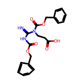 N=C(NC(=O)OCc1ccccc1)N(CCC(=O)O)C(=O)OCc1ccccc1